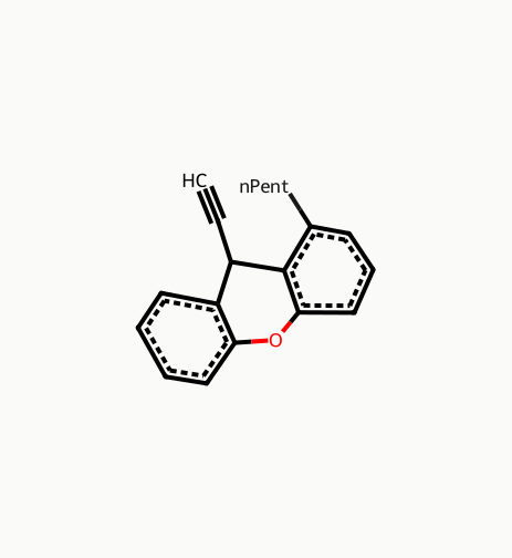 C#CC1c2ccccc2Oc2cccc(CCCCC)c21